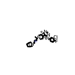 CC(/C=C/CN1CC2CCC(C1)O2)N1CCc2c(sc3ncnc(Nc4ccc(F)c(Cl)c4)c23)C1